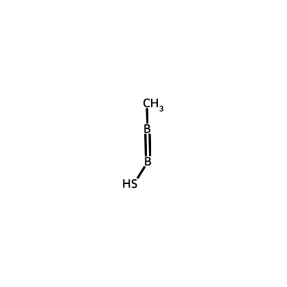 CB=BS